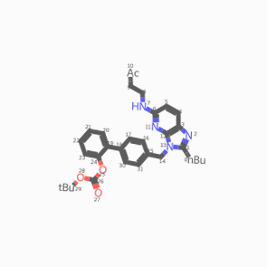 CCCCc1nc2ccc(NCCC(C)=O)nc2n1Cc1ccc(-c2ccccc2OC(=O)OC(C)(C)C)cc1